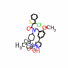 COc1ccc(-c2ccncc2)cc1CN(C(=O)c1sc2ccccc2c1Cl)C1CCC(C(NC(=O)O)C(C)(C)C)CC1